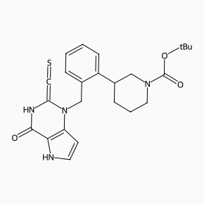 CC(C)(C)OC(=O)N1CCCC(c2ccccc2CN2C(=C=S)NC(=O)c3[nH]ccc32)C1